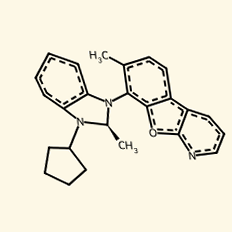 Cc1ccc2c(oc3ncccc32)c1N1c2ccccc2N(C2CCCC2)[C@@H]1C